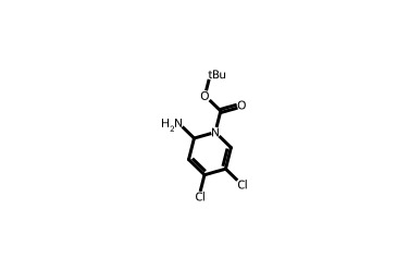 CC(C)(C)OC(=O)N1C=C(Cl)C(Cl)=CC1N